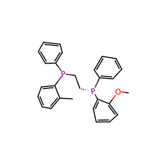 COc1ccccc1[P@](CCP(c1ccccc1)c1ccccc1C)c1ccccc1